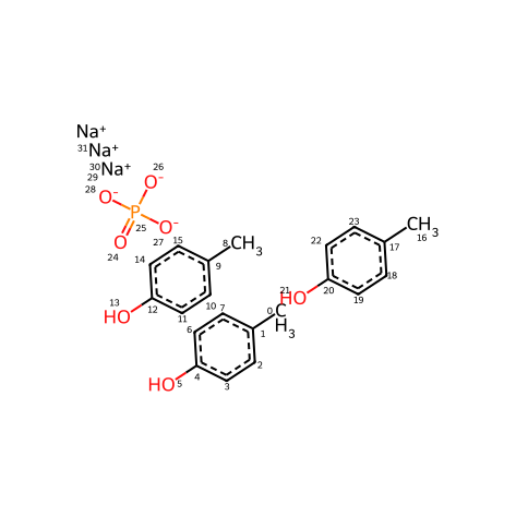 Cc1ccc(O)cc1.Cc1ccc(O)cc1.Cc1ccc(O)cc1.O=P([O-])([O-])[O-].[Na+].[Na+].[Na+]